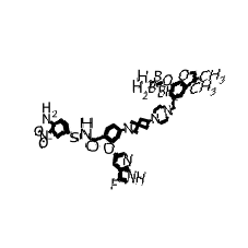 BC(B)(B)Oc1cc(CN2CCN(C3CC4(C3)CN(c3ccc(C(=O)NSc5ccc(N)c([N+](=O)[O-])c5)c(Oc5cnc6[nH]cc(F)c6c5)c3)C4)CC2)cc2c1OCC2(C)C